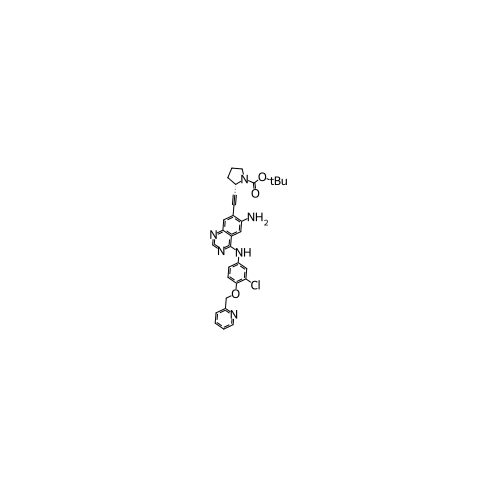 CC(C)(C)OC(=O)N1CCC[C@H]1C#Cc1cc2ncnc(Nc3ccc(OCc4ccccn4)c(Cl)c3)c2cc1N